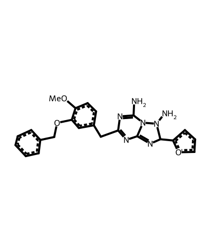 COc1ccc(CC2=NC3=NC(c4ccco4)N(N)N3C(N)=N2)cc1OCc1ccccc1